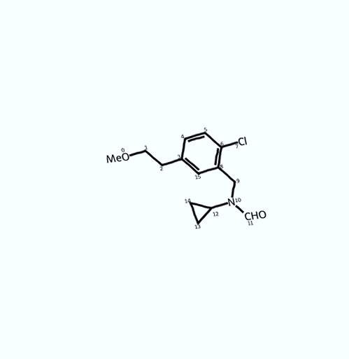 COCCc1ccc(Cl)c(CN(C=O)C2CC2)c1